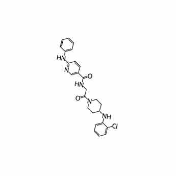 O=C(NCC(=O)N1CCC(Nc2ccccc2Cl)CC1)c1ccc(Nc2ccccc2)nc1